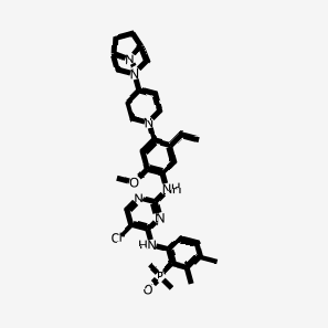 CCc1cc(Nc2ncc(Cl)c(Nc3ccc(C)c(C)c3P(C)(C)=O)n2)c(OC)cc1N1CCC(N2CC3CCC(C2)N3C)CC1